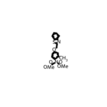 COC(=O)N(C(=O)OC)c1ccc(OCc2nc3ccccc3s2)cc1C